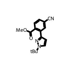 COC(=O)c1ccc(C#N)cc1-c1ccn(C(C)(C)C)n1